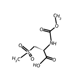 COC(=O)N[C@@H](CS(C)(=O)=O)C(=O)O